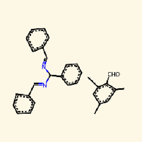 C(=NC(N=Cc1ccccc1)c1ccccc1)c1ccccc1.Cc1cc(C)c(C=O)c(C)c1